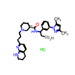 Cc1cc(C)n(-c2cccc(C(CC(=O)O)NC(=O)[C@@H]3CCCN(CCCc4ccc5c(n4)NCCC5)C3)c2)n1.Cl